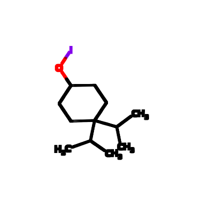 CC(C)C1(C(C)C)CCC(OI)CC1